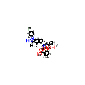 C[C@H]1C2=CNN(c3ccc(F)cc3)C2=CC2=C1[C@@H](CN(C[C@@H](C)O)S(=O)(=O)c1ccccc1C(=O)O)CC2